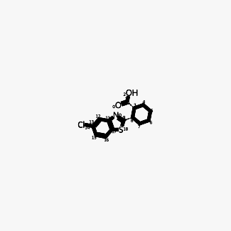 O=C(O)[C@@H]1CCCC[C@@H]1c1nc2cc(Cl)ccc2s1